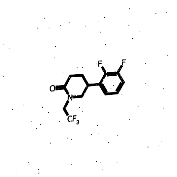 O=C1CCC(c2cccc(F)c2F)CN1CC(F)(F)F